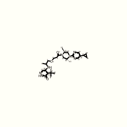 CC(COCCC(=O)N1C[C@@H](C)N(c2ncc(C3CC3)cn2)C[C@@H]1C)Nc1cn[nH]c(=O)c1C(F)(F)F